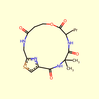 CC(C)C1NC(=O)C(C)(C)NC(=O)c2csc(n2)CNC(=O)CCOC1=O